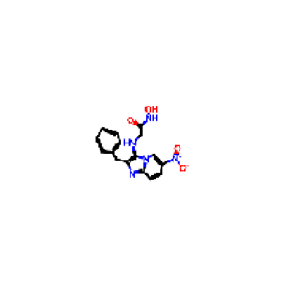 O=C(CNc1c(Cc2ccccc2)nc2ccc([N+](=O)[O-])cn12)NO